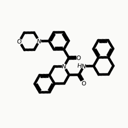 O=C(NC1CCCc2ccccc21)C1Cc2ccccc2CN1C(=O)c1cccc(N2CCOCC2)c1